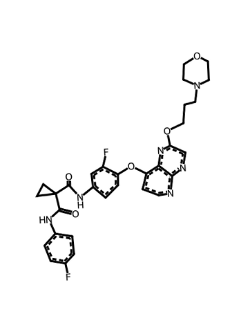 O=C(Nc1ccc(F)cc1)C1(C(=O)Nc2ccc(Oc3ccnc4ncc(OCCCN5CCOCC5)nc34)c(F)c2)CC1